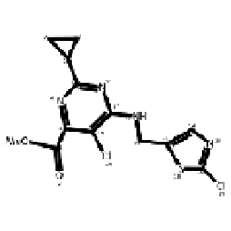 COC(=O)c1nc(C2CC2)nc(NCc2cnc(Cl)s2)c1Cl